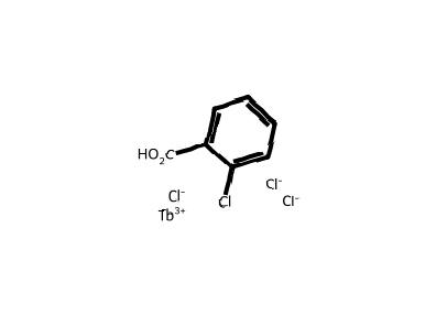 O=C(O)c1ccccc1Cl.[Cl-].[Cl-].[Cl-].[Tb+3]